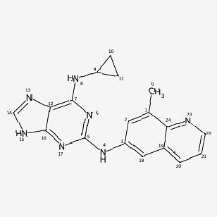 Cc1cc(Nc2nc(NC3CC3)c3nc[nH]c3n2)cc2cccnc12